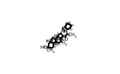 C[C@H](C(=O)[C@H]1CC[C@H]2[C@@H]3CC[C@@H]4C[C@](C)(O)CC[C@]4(C)[C@H]3CC[C@]12C)n1nnc2ccccc21